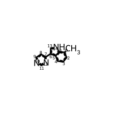 Cc1cccc2c(-c3ccncn3)c[nH]c12